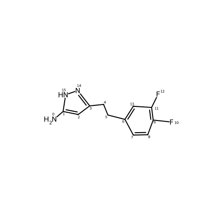 Nc1cc(CCc2ccc(F)c(F)c2)n[nH]1